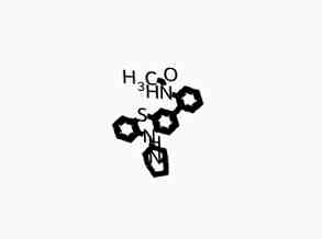 CC(=O)Nc1ccccc1-c1ccc2c(c1)Sc1ccccc1N2C1CC2CCC(C1)N2